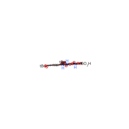 CC(C)(C)OC(=O)CCCCCCCCCCCCCCCCC(=O)N[C@@H](CCC(=O)NCCOCCOCC(=O)NCCOCCOCC(=O)O)C(=O)OC(C)(C)C